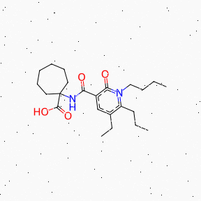 CCCCn1c(CCC)c(CC)cc(C(=O)NC2(C(=O)O)CCCCCC2)c1=O